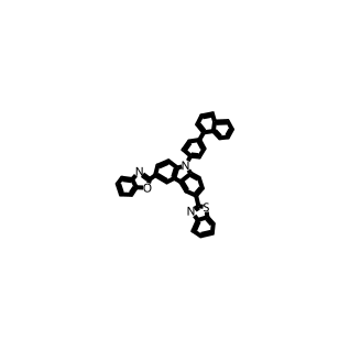 c1ccc2c(-c3ccc(-n4c5ccc(-c6nc7ccccc7o6)cc5c5cc(-c6nc7ccccc7s6)ccc54)cc3)cccc2c1